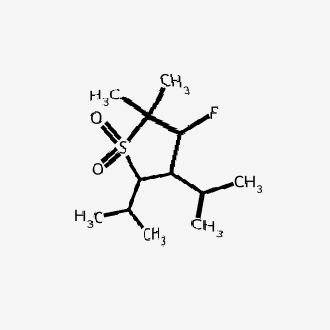 CC(C)C1C(F)C(C)(C)S(=O)(=O)C1C(C)C